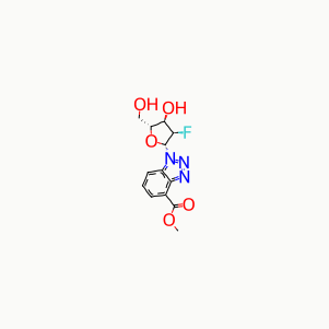 COC(=O)c1cccc2c1nnn2[C@@H]1O[C@H](CO)[C@@H](O)[C@H]1F